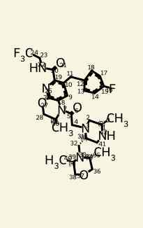 C[C@@H]1CN(CC(=O)N2c3cc(Cc4ccc(F)cc4)c(C(=O)NCC(F)(F)F)nc3OC[C@@H]2C)[C@@H](CN2[C@H](C)COC[C@H]2C)CN1